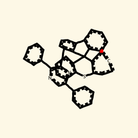 c1ccc(-c2cnc(-c3ccccc3)c(-c3cccc4c3C3(c5ccccc5Sc5ccccc53)c3ccccc3-4)n2)cc1